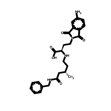 C[C@@H](CCN[C@H](CCN1C(=O)c2ccc(N)cc2C1=O)C(=O)O)CC(=O)NCc1ccccc1